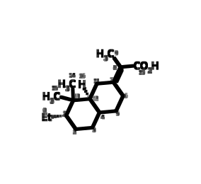 CC[C@H]1CCC2CCC(=C(C)C(=O)O)C[C@@H]2C1(C)C